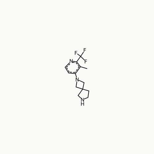 Cc1c(N2CC3(CCNC3)C2)ccnc1C(F)(F)F